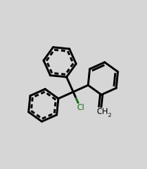 C=C1C=CC=CC1C(Cl)(c1ccccc1)c1ccccc1